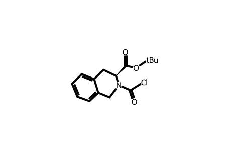 CC(C)(C)OC(=O)[C@@H]1Cc2ccccc2CN1C(=O)Cl